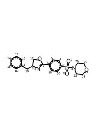 O=S(=O)(c1ccc(C2=N[C@@H](Cc3ccccc3)CO2)cc1)N1CCOCC1